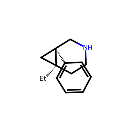 CC[C@@]12CCNC[C@]1(c1ccccc1)C2